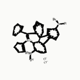 CC(C)N(c1ccc2c(c1)Cc1c-2ccc(N(C(C)C)C(C)C)[c]1[Zr+2]([C]1=CC=CC1)=[C](c1ccccc1)c1ccccc1)C(C)C.[Cl-].[Cl-]